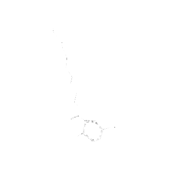 CCCCCCCCCCOC(=O)c1cc(O)ccc1O